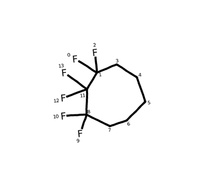 FC1(F)CCCCCC(F)(F)C1(F)F